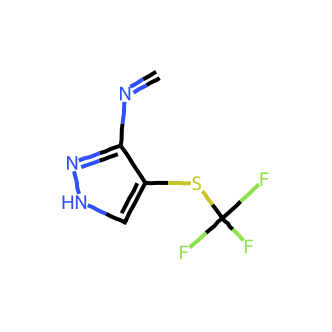 C=Nc1n[nH]cc1SC(F)(F)F